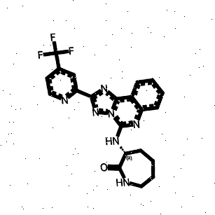 O=C1NCCCC[C@H]1Nc1nc2ccccc2c2nc(-c3cc(C(F)(F)F)ccn3)nn12